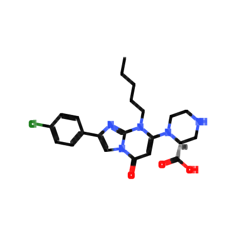 CCCCCn1c(N2CCNC[C@@H]2C(=O)O)cc(=O)n2cc(-c3ccc(Cl)cc3)nc12